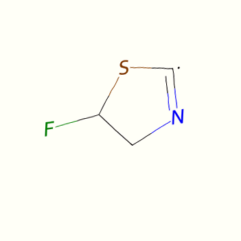 FC1CN=[C]S1